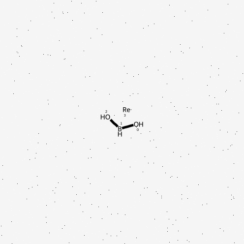 OBO.[Re]